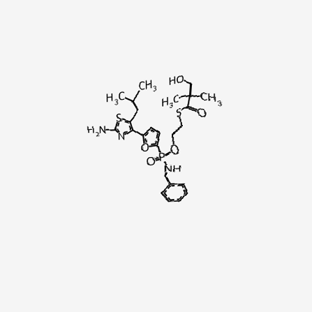 CC(C)Cc1sc(N)nc1-c1ccc(P(=O)(NCc2ccccc2)OCCSC(=O)C(C)(C)CO)o1